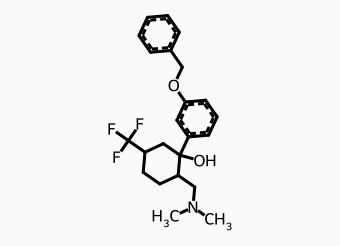 CN(C)CC1CCC(C(F)(F)F)CC1(O)c1cccc(OCc2ccccc2)c1